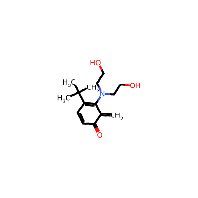 C=C1C(=O)C=CC(C(C)(C)C)=C1N(CCO)CCO